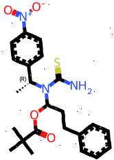 C[C@H](c1ccc([N+](=O)[O-])cc1)N(C(N)=S)C(CCc1ccccc1)OC(=O)C(C)(C)C